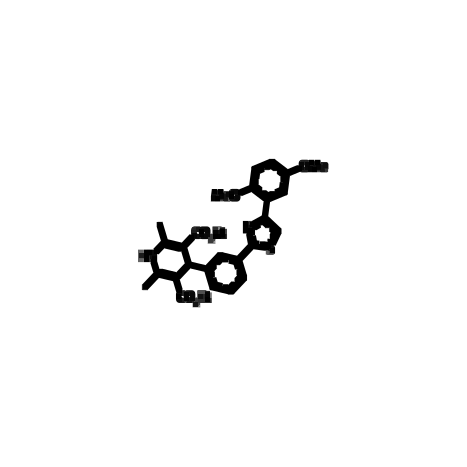 CCOC(=O)C1=C(C)NC(C)=C(C(=O)OCC)C1c1cccc(-c2nc(-c3cc(OC)ccc3OC)cs2)c1